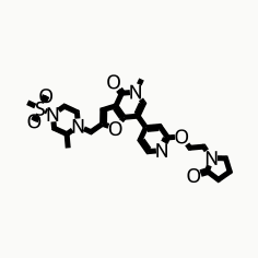 CC1CN(S(C)(=O)=O)CCN1Cc1cc2c(=O)n(C)cc(-c3ccnc(OCCN4CCCC4=O)c3)c2o1